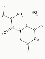 CCC(N)C(=O)N1CC(C)OC(C)C1.Cl